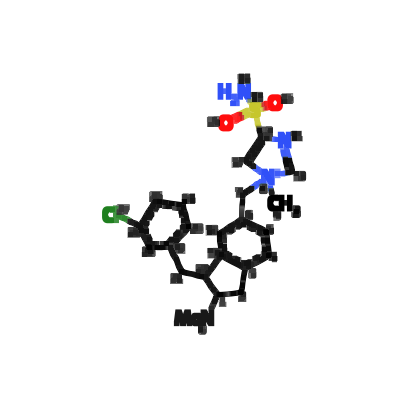 CNC1Cc2ccc(C[N+]3(C)C=NC(S(N)(=O)=O)=C3)cc2C1Cc1cccc(Cl)c1